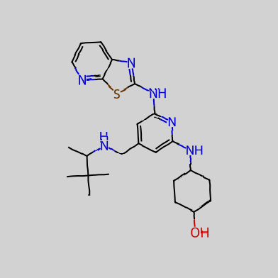 CC(NCc1cc(Nc2nc3cccnc3s2)nc(NC2CCC(O)CC2)c1)C(C)(C)C